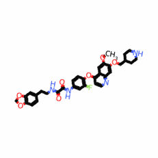 COc1cc2c(Oc3ccc(NC(=O)C(=O)NCCc4ccc5c(c4)OCO5)cc3F)ccnc2cc1OCC1CCNCC1